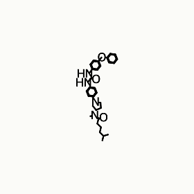 CC(C)CCCC(=O)N(C)C1CCN(c2ccc(NC(=O)Nc3ccc(Oc4ccccc4)cc3)cc2)C1